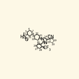 C[SH](=O)(I)c1cccc(-c2ccc(-n3cc(C4(C#N)CCCC4)nc3-c3ccccc3C(F)(F)F)cc2)c1